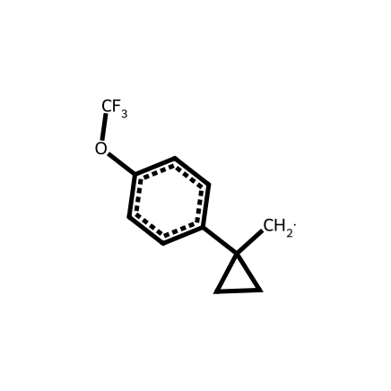 [CH2]C1(c2ccc(OC(F)(F)F)cc2)CC1